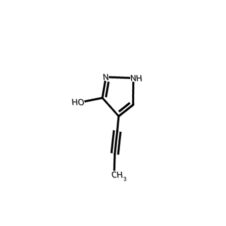 CC#Cc1c[nH]nc1O